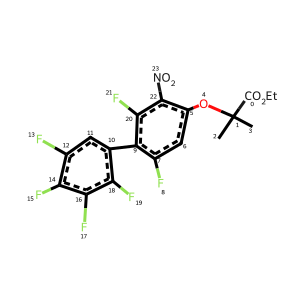 CCOC(=O)C(C)(C)Oc1cc(F)c(-c2cc(F)c(F)c(F)c2F)c(F)c1[N+](=O)[O-]